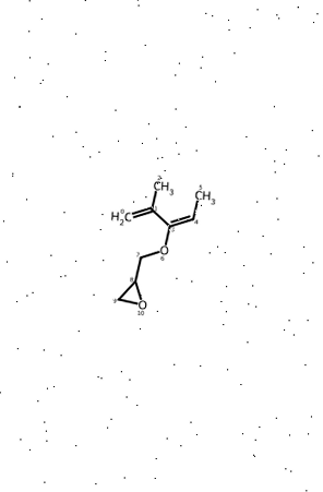 C=C(C)C(=CC)OCC1CO1